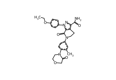 CCOc1ccc(-n2nc(C(N)=O)c3c2C(=O)N(c2ccc(N4CCOCC4=O)c(C)c2)CC3)cc1